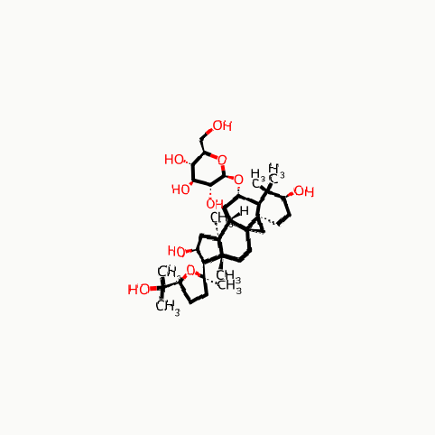 CC(C)(O)[C@@H]1CC[C@](C)([C@H]2[C@@H](O)C[C@@]3(C)[C@@H]4C[C@H](O[C@@H]5O[C@H](CO)[C@@H](O)[C@H](O)[C@H]5O)C5C(C)(C)[C@@H](O)CC[C@@]56C[C@@]46CC[C@]23C)O1